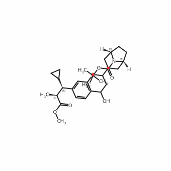 COC(=O)[C@@H](C)[C@H](c1ccc2c(c1)OC(C1C[C@H]3CC[C@@H](C1)N3C(=O)OC(C)(C)C)CC2O)C1CC1